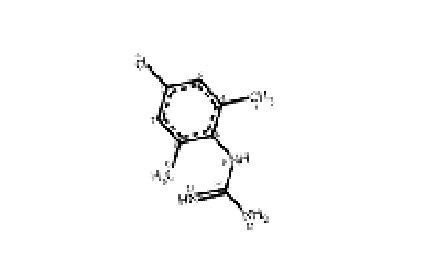 Cc1cc(Cl)cc(C)c1NC(=N)N